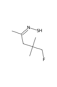 CC(CC(C)(C)CF)=NS